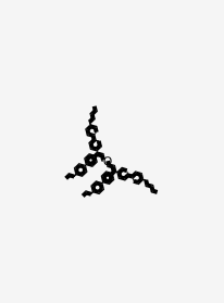 CCCCC[C@H]1CC[C@H]([C@H]2CC[C@H](C(=CCOCC=C(c3ccc([C@H]4CC[C@H](CCC)CC4)cc3)[C@H]3CC[C@H]([C@H]4CC[C@H](CCCCC)CC4)CC3)c3ccc([C@H]4CC[C@H](CCC)CC4)cc3)CC2)CC1